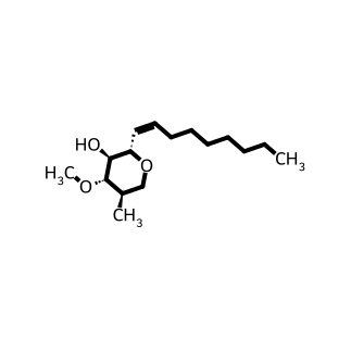 CCCCCCC/C=C\[C@@H]1OC[C@@H](C)[C@H](OC)[C@H]1O